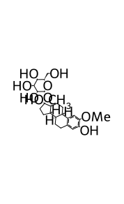 COc1cc2c(cc1O)CC[C@@H]1[C@@H]2CC[C@@]2(C)[C@H]1CC[C@@]2(O)O[C@H]1O[C@H](CO)[C@H](O)[C@H](O)[C@H]1O